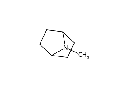 CN1C2CCC1CC2